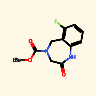 CC(C)(C)OC(=O)N1CC(=O)Nc2cccc(F)c2C1